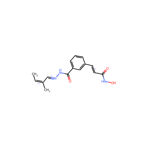 C/C=C(C)\C=N\NC(=O)c1cccc(/C=C/C(=O)NO)c1